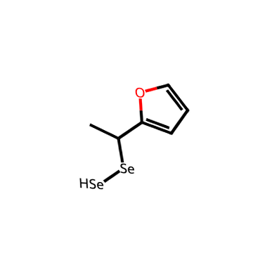 CC([Se][SeH])c1ccco1